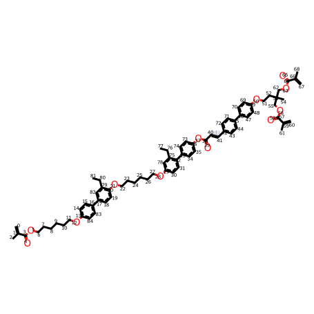 C=C(C)C(=O)OCCCCCCOc1ccc(-c2ccc(OCCCCCCOc3ccc(-c4ccc(OC(=O)/C=C/c5ccc(-c6ccc(OCCC(C)(COC(=O)C(=C)C)COC(=O)C(=C)C)cc6)cc5)cc4)c(CC)c3)c(CC)c2)cc1